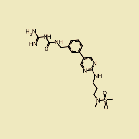 CN(CCCNc1ncc(-c2cccc(CNC(=O)NC(=N)N)c2)cn1)S(C)(=O)=O